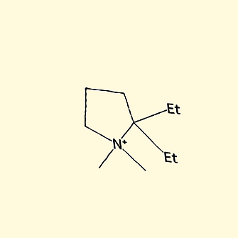 CCC1(CC)CCC[N+]1(C)C